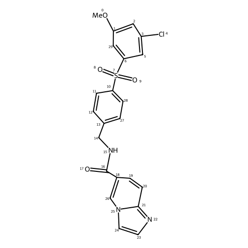 COc1cc(Cl)cc(S(=O)(=O)c2ccc(CNC(=O)c3ccc4nccn4c3)cc2)c1